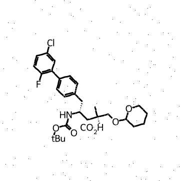 CC(C)(C)OC(=O)N[C@H](Cc1ccc(-c2cc(Cl)ccc2F)cc1)C[C@@](C)(COC1CCCCO1)C(=O)O